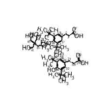 CC(C)(C)c1cc(CCC(=O)O)cc(C(C)(C)C)c1O.CC(C)(C)c1cc(CCC(=O)O)cc(C(C)(C)C)c1O.OCC(CO)(CO)CO